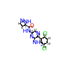 Nc1nc(NC(=O)c2ccn[nH]2)cnc1-c1cc(Cl)ccc1Cl